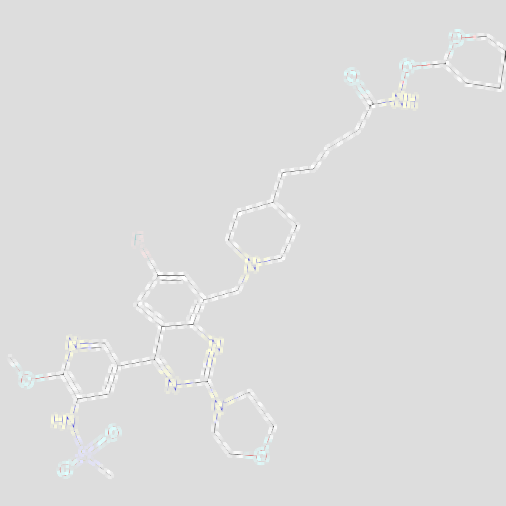 COc1ncc(-c2nc(N3CCOCC3)nc3c(CN4CCC(CCCCC(=O)NOC5CCCCO5)CC4)cc(F)cc23)cc1NS(C)(=O)=O